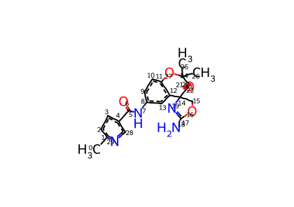 Cc1ccc(C(=O)Nc2ccc3c(c2)C2(COC(N)=N2)C2(COC2)C(C)(C)O3)cn1